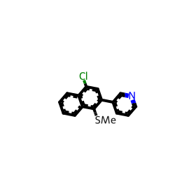 CSc1c(-c2cccnc2)cc(Cl)c2ccccc12